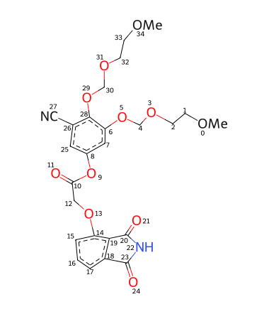 COCCOCOc1cc(OC(=O)COc2cccc3c2C(=O)NC3=O)cc(C#N)c1OCOCCOC